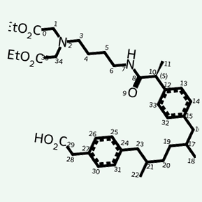 CCOC(=O)CN(CCCCNC(=O)[C@@H](C)c1ccc(CC(C)CCC(C)Cc2ccc(CC(=O)O)cc2)cc1)CC(=O)OCC